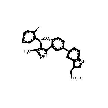 CCOC(=O)Cc1c[nH]c2ccc(-c3cccc(-c4onc(C)c4N(C(=O)OCC)c4ccccc4Cl)c3)cc12